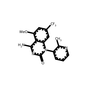 COc1cc(C(F)(F)F)cc2c1c(N)nc(=O)n2-c1cccnc1C